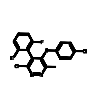 Cc1nnc(Cl)c(-c2c(F)cccc2Cl)c1Sc1ccc(Cl)cc1